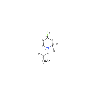 COC(C)CN1CCC(F)CC1(C)C